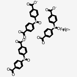 O=C([O-])c1ccc(S(=O)c2ccc(C(=O)[O-])cc2)cc1.O=C([O-])c1ccc(S(=O)c2ccc(C(=O)[O-])cc2)cc1.O=C([O-])c1ccc(S(=O)c2ccc(C(=O)[O-])cc2)cc1.[Fe+3].[Fe+3]